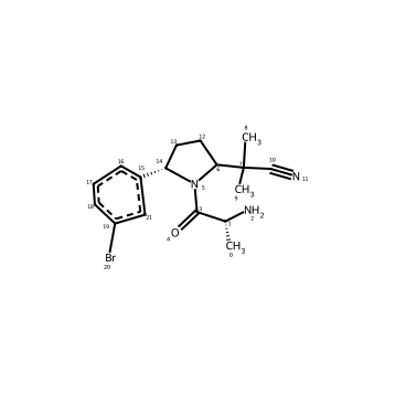 C[C@@H](N)C(=O)N1C(C(C)(C)C#N)CC[C@H]1c1cccc(Br)c1